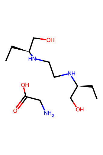 CC[C@@H](CO)NCCN[C@@H](CC)CO.NCC(=O)O